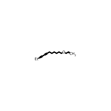 C=CCOCCCCCCC#CC#CCC